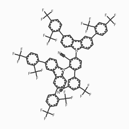 N#Cc1cc(-c2ccc(-n3c4ccc(-c5ccc(C(F)(F)F)cc5C(F)(F)F)cc4c4cc(-c5ccc(C(F)(F)F)cc5C(F)(F)F)ccc43)c(C#N)c2-n2c3ccc(-c4ccc(C(F)(F)F)cc4C(F)(F)F)cc3c3cc(-c4ccc(C(F)(F)F)cc4C(F)(F)F)ccc32)cc(C(F)(F)F)c1